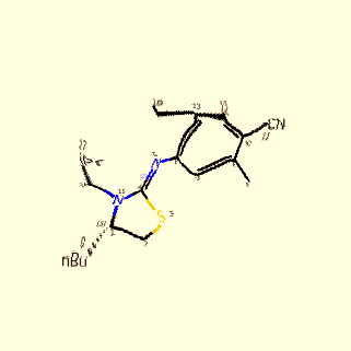 CCCC[C@H]1CS/C(=N\c2cc(C)c(C#N)cc2C)N1CC(C)C